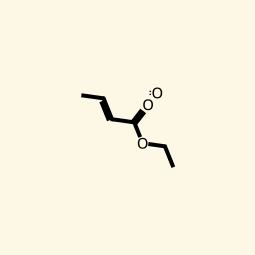 CC=CC(=O)OCC.[O]